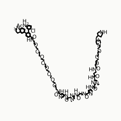 CC(=O)N1c2ccc(-c3ccc(C(=O)NCCOCCOCCOCCOCCOCCOCCOCCOCCNC(=O)c4cc(NC(=O)c5nc(NC(=O)CCNC(=O)c6cc(NC(=O)c7nc(NC(=O)CCNC(=O)COCCOCCOCCN8CCN(CC9CCNCC9)CC8)cn7C)cn6C)cn5C)cn4C)cc3-c3cc(N)ccc3Cl)cc2CC[C@@H]1C